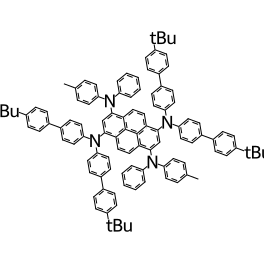 Cc1ccc(N(c2ccccc2)c2cc(N(c3ccc(-c4ccc(C(C)(C)C)cc4)cc3)c3ccc(-c4ccc(C(C)(C)C)cc4)cc3)c3ccc4c(N(c5ccccc5)c5ccc(C)cc5)cc(N(c5ccc(-c6ccc(C(C)(C)C)cc6)cc5)c5ccc(-c6ccc(C(C)(C)C)cc6)cc5)c5ccc2c3c45)cc1